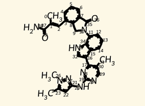 C/C(=C\c1cccc2c1CN(c1cccc3c(-c4nc(Nc5cc(C)n(C)n5)ncc4C)c[nH]c13)C2=O)C(N)=O